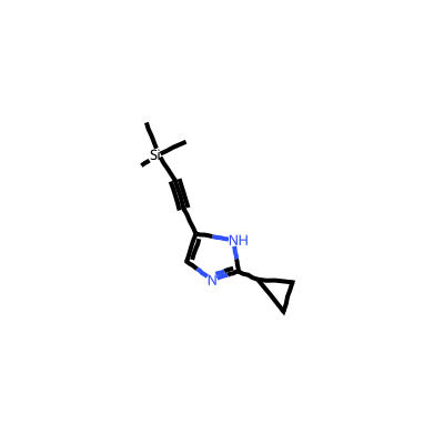 C[Si](C)(C)C#Cc1cnc(C2CC2)[nH]1